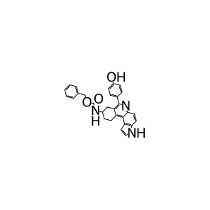 O=C(NC1CCc2c(c(-c3ccc(O)cc3)nc3ccc4[nH]ccc4c23)C1)OCc1ccccc1